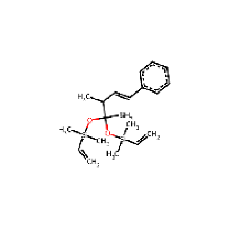 C=C[Si](C)(C)OC([SiH3])(O[Si](C)(C)C=C)C(C)C=Cc1ccccc1